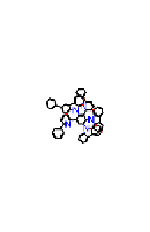 c1ccc(-c2ccc3c(c2)c2ccccc2n3-c2c(-c3cccc(-c4ccccc4)n3)cc(-n3c4ccccc4c4ccccc43)c(-n3c4ccccc4c4ccccc43)c2-c2cccc(-c3ccccc3)n2)cc1